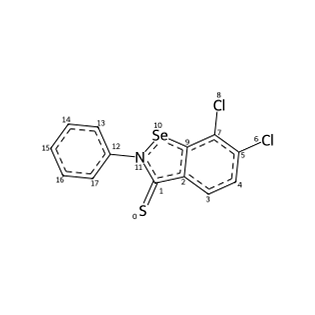 S=c1c2ccc(Cl)c(Cl)c2[se]n1-c1ccccc1